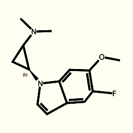 COc1cc2c(ccn2[C@H]2CC2N(C)C)cc1F